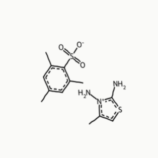 Cc1cc(C)c(S(=O)(=O)[O-])c(C)c1.Cc1csc(N)[n+]1N